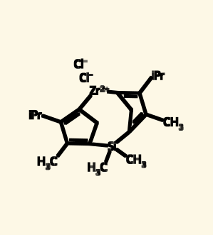 CC1=C2C[C](=C1C(C)C)[Zr+2][C]1=C(C(C)C)C(C)=C(C1)[Si]2(C)C.[Cl-].[Cl-]